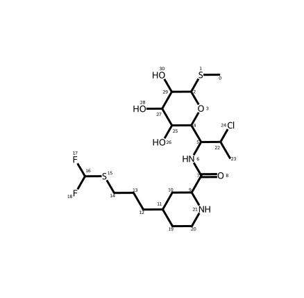 CSC1OC(C(NC(=O)C2CC(CCCSC(F)F)CCN2)C(C)Cl)C(O)C(O)C1O